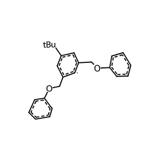 CC(C)(C)c1cc(COc2ccccc2)[c]c(COc2ccccc2)c1